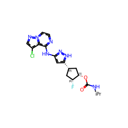 CC(C)NC(=O)O[C@H]1C[C@@H](c2cc(Nc3nccn4ncc(Cl)c34)n[nH]2)C[C@H]1F